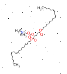 CCCCC/C=C\C/C=C\CCCCCCCCOC(=O)CCC(OC(=O)OCCN(C)C)C(=O)OCCCCCCCC/C=C\C/C=C\CCCCC